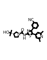 Cc1cc(-c2sc(NC(=O)N3CC[C@H](C(C)(C)O)C3)nc2-c2cccc(C#N)c2)cc(C)n1